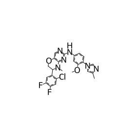 COc1cc(Nc2ncc3c(n2)N(C)C(c2cc(F)c(F)cc2Cl)CO3)ccc1-n1cnc(C)c1